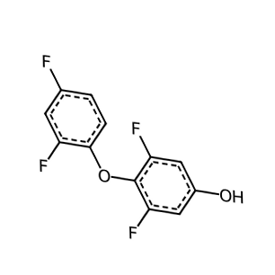 Oc1cc(F)c(Oc2ccc(F)cc2F)c(F)c1